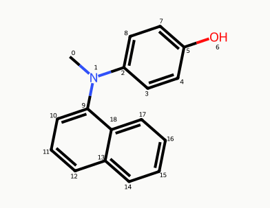 CN(c1ccc(O)cc1)c1cccc2ccccc12